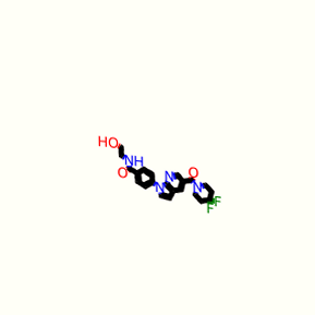 O=C(NCCO)c1ccc(-n2ccc3cc(C(=O)N4CCC(F)(F)CC4)cnc32)cc1